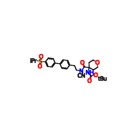 CC(C)S(=O)(=O)c1ccc(-c2ccc(CCN(C#N)C(=O)C3(NC(=O)OC(C)(C)C)CCOCC3)cc2)cc1